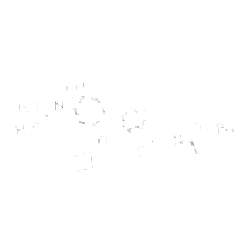 CC(C)(C)OC(=O)N1CC(F)(c2nc(-c3ccc4c(c3OC3CCC3)CCC(C)(C)N4C(=O)O)cs2)C1